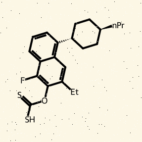 CCC[C@H]1CC[C@H](c2cccc3c(F)c(OC(=S)S)c(CC)cc32)CC1